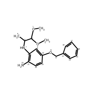 COC(OC)C(C)Nc1cc(OCc2ccccc2)ccc1N